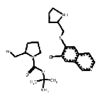 CC(C)(C)OC(=O)N1CCCC1CBr.Clc1cc2cnccc2cc1SCC1CCCN1